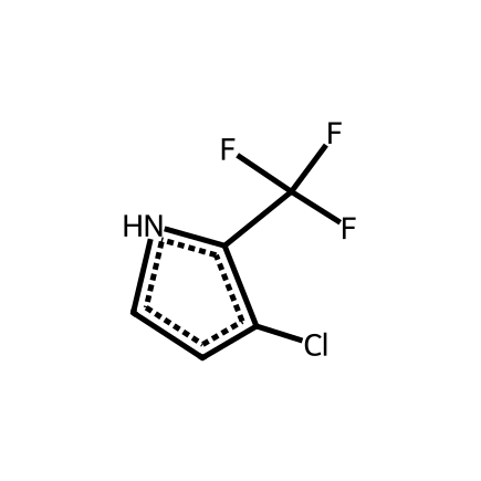 FC(F)(F)c1[nH]ccc1Cl